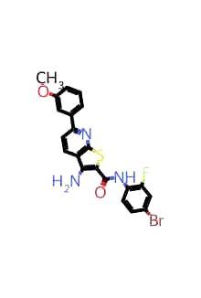 COc1cccc(-c2ccc3c(N)c(C(=O)Nc4ccc(Br)cc4F)sc3n2)c1